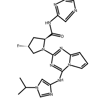 CC(C)n1cnc(Nc2nc(N3C[C@H](F)C[C@H]3C(=O)Nc3cnccn3)nc3cccn23)c1